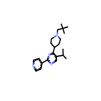 CC(C)c1cnc(-c2ccncc2)nc1C1CCN(CC(C)(C)C)CC1